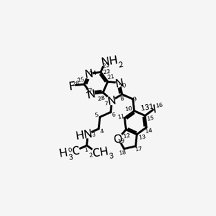 CC(C)NCCCn1c(Cc2cc3c(cc2[131I])CCO3)nc2c(N)nc(F)nc21